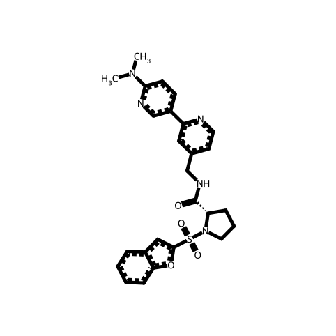 CN(C)c1ccc(-c2cc(CNC(=O)[C@@H]3CCCN3S(=O)(=O)c3cc4ccccc4o3)ccn2)cn1